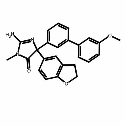 COc1cccc(-c2cccc(C3(c4ccc5c(c4)CCO5)N=C(N)N(C)C3=O)c2)c1